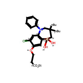 CCCCC1(CCCC)CN(c2ccccc2)c2cc(Cl)c(OCCC(=O)OCC)cc2S(O)(O)C1